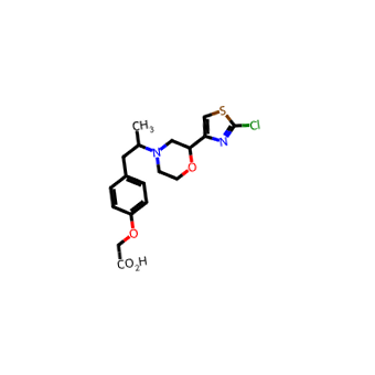 CC(Cc1ccc(OCC(=O)O)cc1)N1CCOC(c2csc(Cl)n2)C1